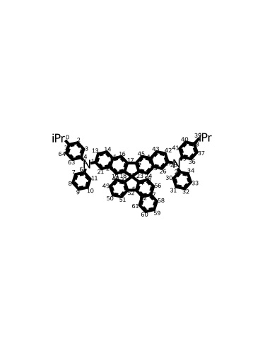 CC(C)c1ccc(N(c2ccccc2)c2ccc3cc4c(cc3c2)C2(c3cc5cc(N(c6ccccc6)c6ccc(C(C)C)cc6)ccc5cc3-4)c3ccccc3-c3c2ccc2ccccc32)cc1